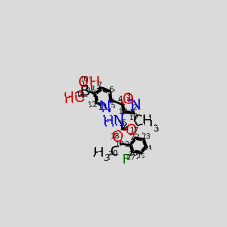 Cc1noc(-c2ccc(B(O)O)cn2)c1NC(=O)O[C@H](C)c1ccccc1F